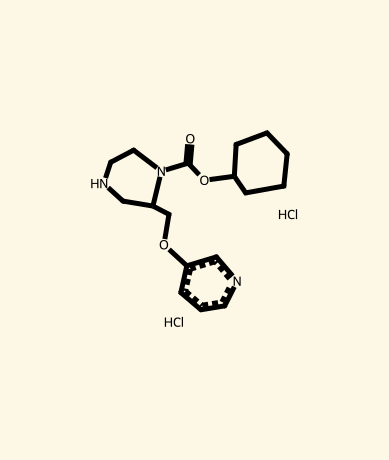 Cl.Cl.O=C(OC1CCCCC1)N1CCNCC1COc1cccnc1